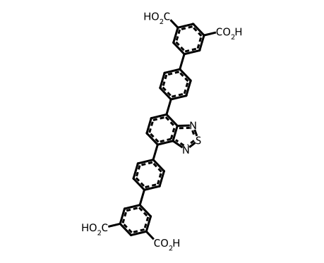 O=C(O)c1cc(C(=O)O)cc(-c2ccc(-c3ccc(-c4ccc(-c5cc(C(=O)O)cc(C(=O)O)c5)cc4)c4nsnc34)cc2)c1